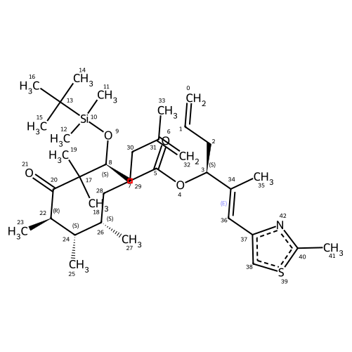 C=CC[C@H](OC(=O)C[C@H](O[Si](C)(C)C(C)(C)C)C(C)(C)C(=O)[C@H](C)[C@@H](C)[C@@H](C)CCCC(=C)C)/C(C)=C/c1csc(C)n1